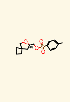 Cc1ccc(S(=O)(=O)OC[C@H]2CC3(CCC3)CO2)cc1